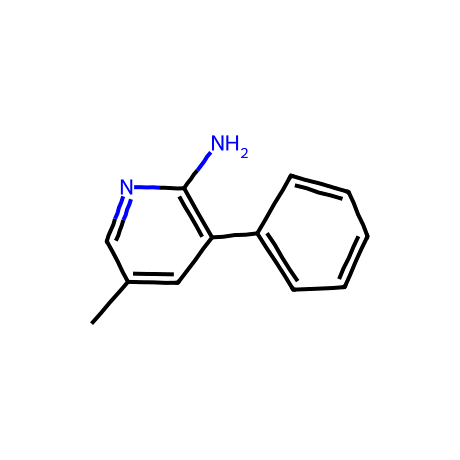 Cc1cnc(N)c(-c2ccccc2)c1